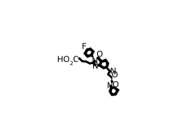 O=C(O)CCCCc1nc2cc(C3=NO[C@@H](c4nc5ccccc5o4)C3)ccc2c(=O)n1-c1ccc(F)cc1